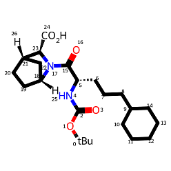 CC(C)(C)OC(=O)N[C@@H](CCCC1CCCCC1)C(=O)N1[C@@H]2CC[C@@H](C2)[C@H]1C(=O)O